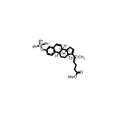 COC(=O)CCC[C@@H](C)C1=CC[C@H]2[C@@H]3C=Cc4cc(O[Si](C(C)C)(C(C)C)C(C)C)ccc4[C@H]3CC[C@]12C